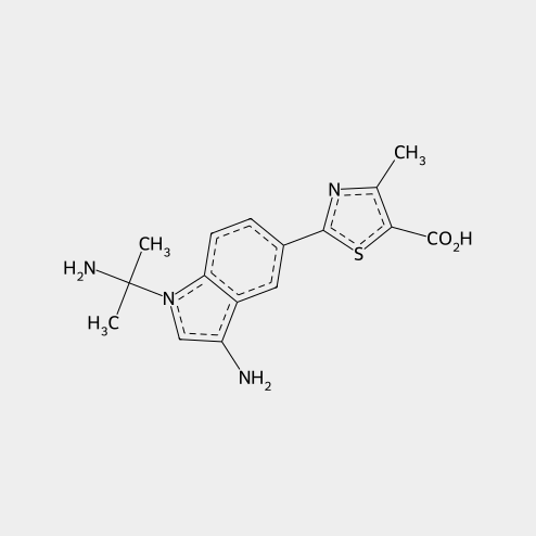 Cc1nc(-c2ccc3c(c2)c(N)cn3C(C)(C)N)sc1C(=O)O